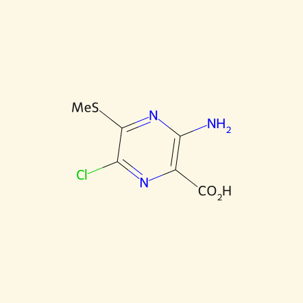 CSc1nc(N)c(C(=O)O)nc1Cl